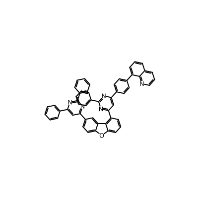 c1ccc(-c2cc(-c3ccc4oc5cccc(-c6cc(-c7ccc(-c8cccc9cccnc89)cc7)nc(-c7ccccc7)n6)c5c4c3)nc(-c3ccccc3)n2)cc1